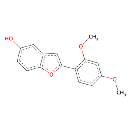 COc1ccc(-c2cc3cc(O)ccc3o2)c(OC)c1